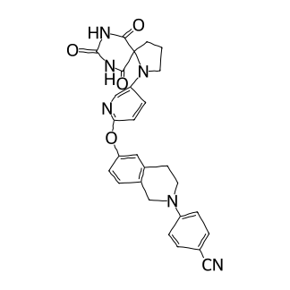 N#Cc1ccc(N2CCc3cc(Oc4ccc(N5CCCC56C(=O)NC(=O)NC6=O)cn4)ccc3C2)cc1